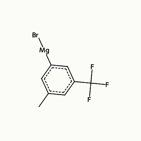 Cc1c[c]([Mg][Br])cc(C(F)(F)F)c1